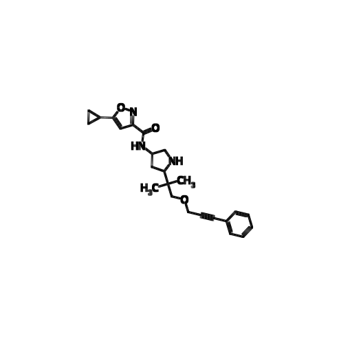 CC(C)(COCC#Cc1ccccc1)C1CC(NC(=O)c2cc(C3CC3)on2)CN1